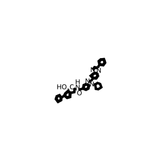 O=C(N[C@@H](Cc1ccc(-c2ccccc2)cc1)C(=O)O)c1ccc2c(c1)nc(-c1ccc3nc(-c4ccccc4)cnc3c1)n2C1CCCCC1